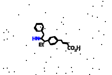 CC[C@H](C(=N)Cc1ccccc1)c1ccc(C/C=C/C(=O)O)cc1